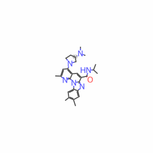 Cc1cc(N2CC[C@H](N(C)C)C2)c2cc(C(=O)NC(C)C)c3nc4cc(C)c(C)cc4n3c2n1